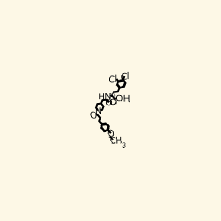 CCOc1ccc(CCC(=O)N2CCC(CC(=O)N[C@@H](CCc3ccc(Cl)c(Cl)c3)C(=O)O)CC2)cc1